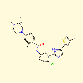 Cc1csc(-c2cnc(-c3cc(NC(=O)c4ccc(N5C[C@@H](C)N(C)[C@@H](C)C5)cc4C)ccc3Cl)[nH]2)c1